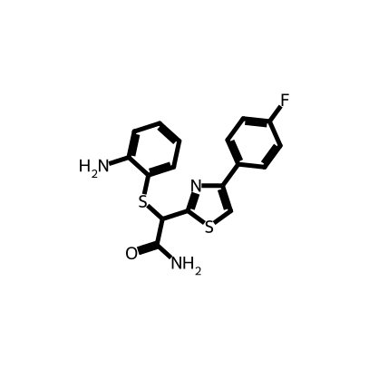 NC(=O)C(Sc1ccccc1N)c1nc(-c2ccc(F)cc2)cs1